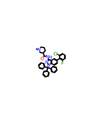 CN1CCCC(C(=O)Nc2nn(C(c3ccccc3)(c3ccccc3)c3ccccc3)c3ccc(-c4c(F)cccc4Cl)cc23)C1